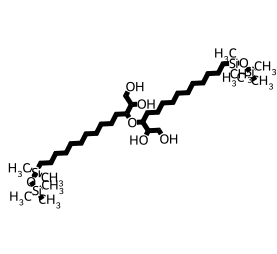 C[Si](C)(C)O[Si](C)(C)CCCCCCCCCCCC(OC(CCCCCCCCCCC[Si](C)(C)O[Si](C)(C)C)C(O)CO)C(O)CO